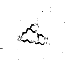 CCCCC(CC)COC(=O)CS.CCC[CH2][Sn][CH2]CCC